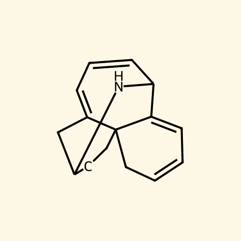 C1=CCC23CCC4CC2=CC=CC(N4)C3=C1